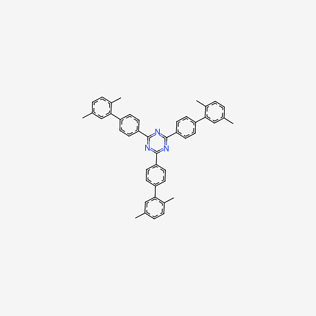 Cc1ccc(C)c(-c2ccc(-c3nc(-c4ccc(-c5cc(C)ccc5C)cc4)nc(-c4ccc(-c5cc(C)ccc5C)cc4)n3)cc2)c1